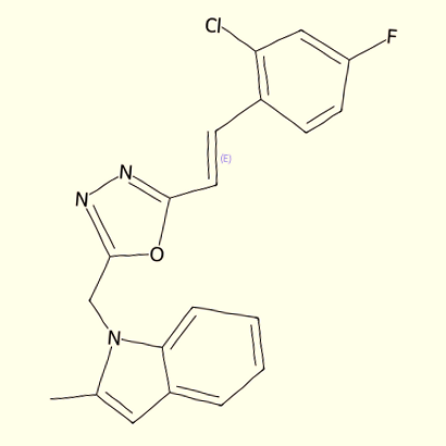 Cc1cc2ccccc2n1Cc1nnc(/C=C/c2ccc(F)cc2Cl)o1